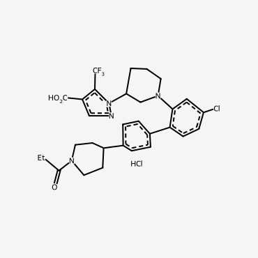 CCC(=O)N1CCC(c2ccc(-c3ccc(Cl)cc3N3CCCC(n4ncc(C(=O)O)c4C(F)(F)F)C3)cc2)CC1.Cl